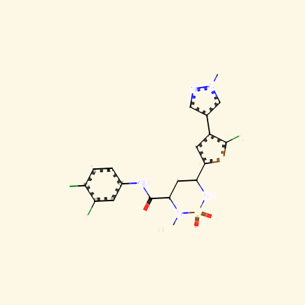 CN1C(C(=O)Nc2ccc(F)c(Cl)c2)CC(c2cc(-c3cnn(C)c3)c(Cl)s2)NS1(=O)=O